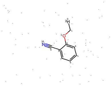 [2H]COc1ccccc1C#N